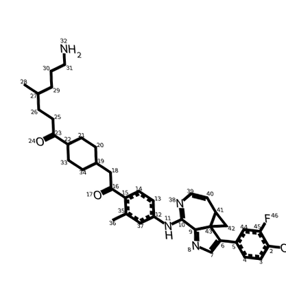 COc1ccc(C2=CN=C3C(Nc4ccc(C(=O)CC5CCC(C(=O)CCC(C)CCCN)CC5)c(C)c4)=NC=CC4CC234)cc1F